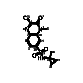 Cn1c(=O)c(Cl)nc2ccc(S(=O)(=O)NC3(C)CC3)cc21